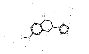 COc1ccc2c(c1)CC(n1ccnc1)CC2.Cl